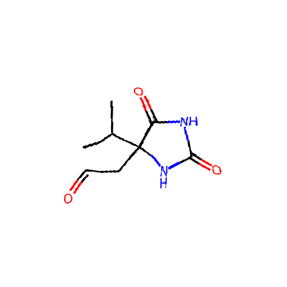 CC(C)C1(CC=O)NC(=O)NC1=O